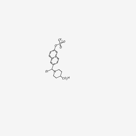 CCC(c1ccc2cc(OS(=O)(=O)C(F)(F)F)ccc2c1)N1CCC(C(=O)O)CC1